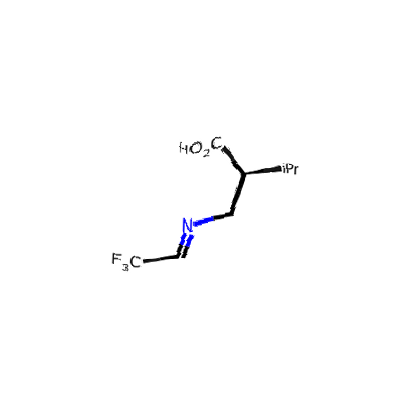 CC(C)[C@@H](CN=CC(F)(F)F)C(=O)O